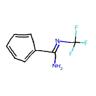 NC(=NC(F)(F)F)c1ccccc1